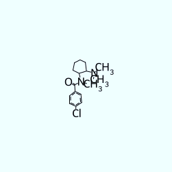 CN(C)C1CCCCC1N(C)C(=O)c1ccc(Cl)cc1